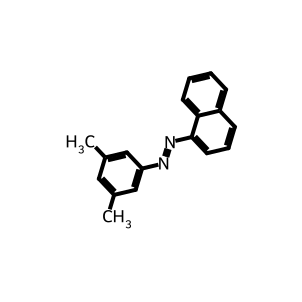 Cc1cc(C)cc(N=Nc2cccc3ccccc23)c1